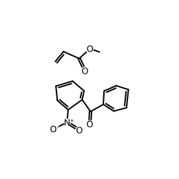 C=CC(=O)OC.O=C(c1ccccc1)c1ccccc1[N+](=O)[O-]